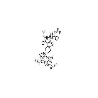 Cn1nc(C(F)F)cc1Nc1nncn1[C@H]1CCc2sc(NC(=O)[C@@H]3CC3(F)F)c(C(=O)NCC3CC3)c2C1